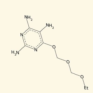 CCOCOCOc1nc(N)nc(N)c1N